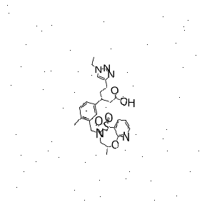 CCn1cc(CCC(CC(=O)O)c2ccc(C)c(CN3CC(C)Oc4ncccc4S3(=O)=O)c2)nn1